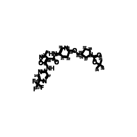 Cc1noc(Nc2cnc(C(F)(F)F)cn2)c1C(=O)Nc1ccc(OC[C@H]2CCN(C(=O)OC(C)(C)C)C2)nc1